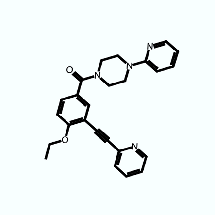 CCOc1ccc(C(=O)N2CCN(c3ccccn3)CC2)cc1C#Cc1ccccn1